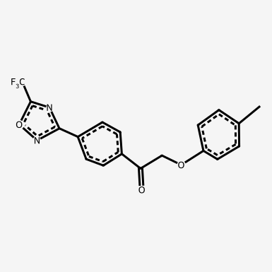 Cc1ccc(OCC(=O)c2ccc(-c3noc(C(F)(F)F)n3)cc2)cc1